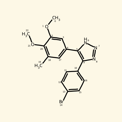 COc1cc(-c2[nH]nnc2-c2ccc(Br)cc2)cc(C)c1OC